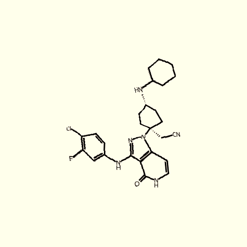 N#CC[C@]1(n2nc(Nc3ccc(Cl)c(F)c3)c3c(=O)[nH]ccc32)CC[C@H](NC2CCCCC2)CC1